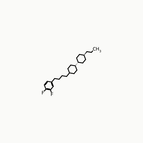 CCC[C@H]1CC[C@H](C2CCC(CCCCc3ccc(F)c(F)c3)CC2)CC1